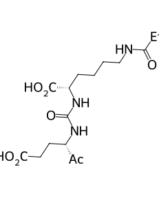 CCC(=O)NCCCC[C@H](NC(=O)N[C@@H](CCC(=O)O)C(C)=O)C(=O)O